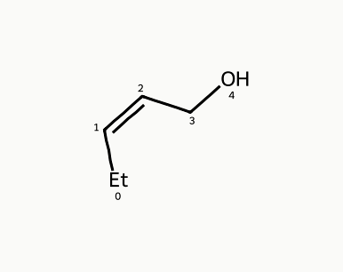 CC/C=C\CO